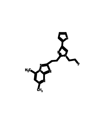 Cc1cc(C)n2nc(CCc3nc(-c4cccs4)cn3CCF)nc2n1